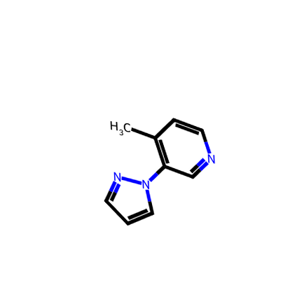 Cc1ccncc1-n1cccn1